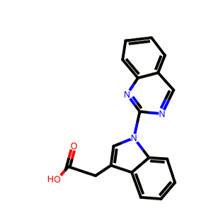 O=C(O)Cc1cn(-c2ncc3ccccc3n2)c2ccccc12